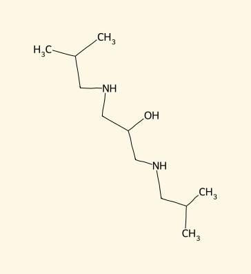 CC(C)CNCC(O)CNCC(C)C